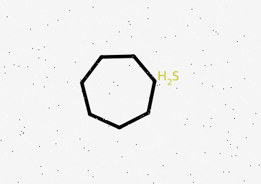 C1CCCCCC1.S